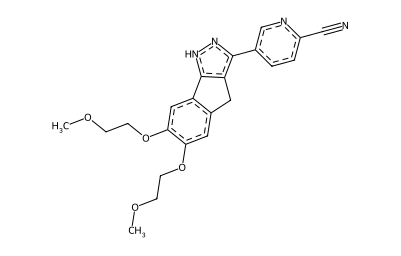 COCCOc1cc2c(cc1OCCOC)-c1[nH]nc(-c3ccc(C#N)nc3)c1C2